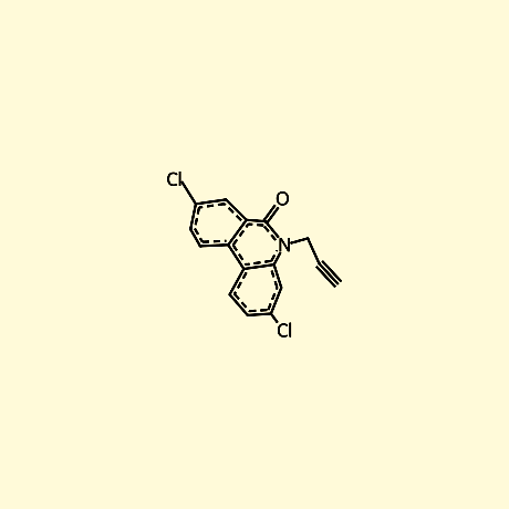 C#CCn1c(=O)c2cc(Cl)ccc2c2ccc(Cl)cc21